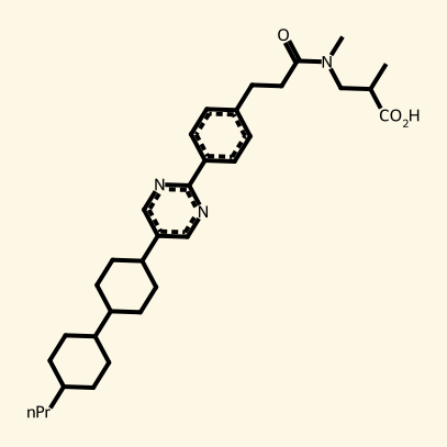 CCCC1CCC(C2CCC(c3cnc(-c4ccc(CCC(=O)N(C)CC(C)C(=O)O)cc4)nc3)CC2)CC1